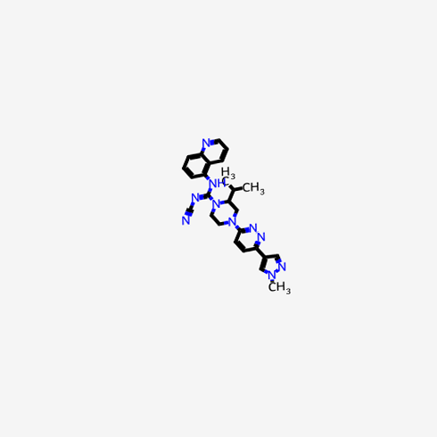 CC(C)C1CN(c2ccc(-c3cnn(C)c3)nn2)CCN1/C(=N\C#N)Nc1cccc2ncccc12